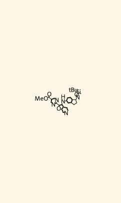 COC(=O)c1cnc(-c2oc3cnccc3c2Nc2ccc3c(c2)CC/C3=N/O[Si](C)(C)C(C)(C)C)nc1